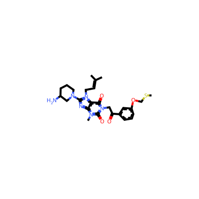 CSCOc1cccc(C(=O)Cn2c(=O)c3c(nc(N4CCCC(N)C4)n3CC=C(C)C)n(C)c2=O)c1